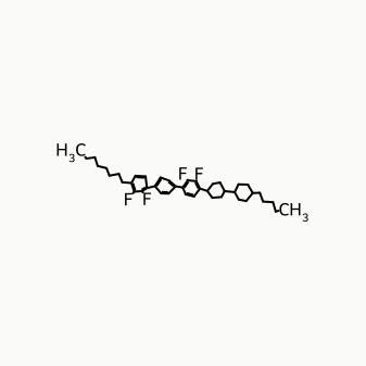 CCCCCCCCc1ccc(-c2ccc(-c3ccc(C4CCC(C5CCC(CCCCC)CC5)CC4)c(F)c3F)cc2)c(F)c1F